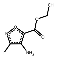 CCOC(=O)c1onc(I)c1N